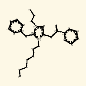 CCCCCCC[n+]1c(CC(C)c2ccccc2)cn(CCC)c1Cc1ccccc1